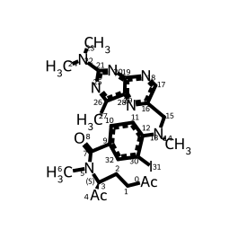 CC(=O)CC[C@@H](C(C)=O)N(C)C(=O)c1ccc(N(C)Cc2cnc3nc(N(C)C)nc(C)c3n2)c(I)c1